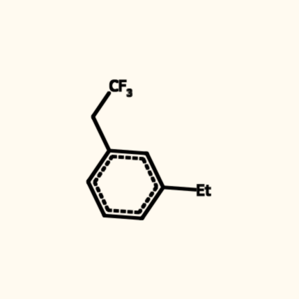 CCc1cccc(CC(F)(F)F)c1